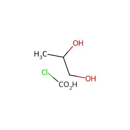 CC(O)CO.O=C(O)Cl